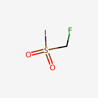 O=S(=O)(I)CF